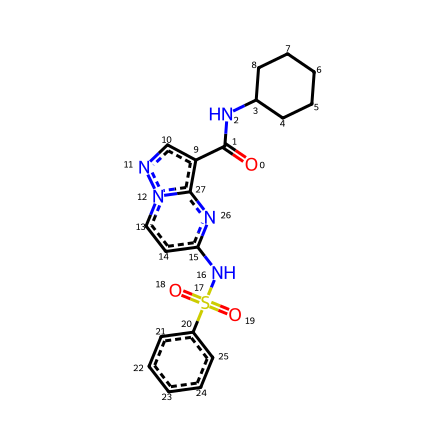 O=C(NC1CCCCC1)c1cnn2ccc(NS(=O)(=O)c3ccccc3)nc12